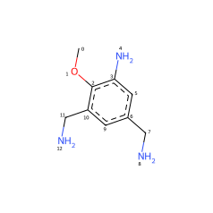 COc1c(N)cc(CN)cc1CN